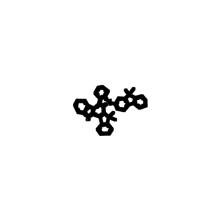 CC1(C)c2ccccc2-c2ccc(-n3c4ccccc4c4c5c(sc6ccccc65)c5c(c43)C(C)(C)c3ccccc3-5)cc21